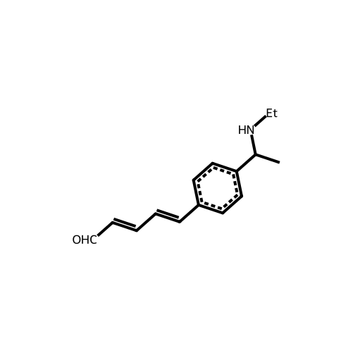 CCNC(C)c1ccc(C=CC=CC=O)cc1